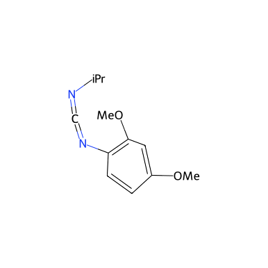 COc1ccc(N=C=NC(C)C)c(OC)c1